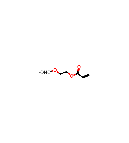 C=CC(=O)OCCO[C]=O